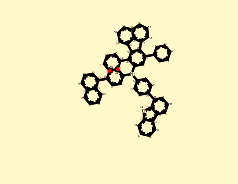 c1ccc(-c2cc(N(c3ccc(-c4cccc5ccccc45)cc3)c3ccc(-c4cccc5c4oc4ccccc45)cc3)c(-c3ccccc3)c3c2-c2cccc4cccc-3c24)cc1